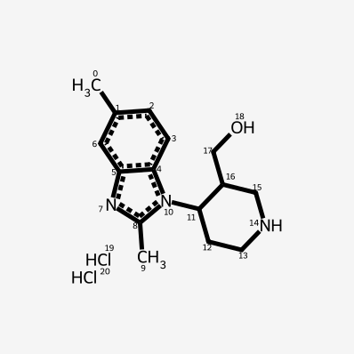 Cc1ccc2c(c1)nc(C)n2C1CCNCC1CO.Cl.Cl